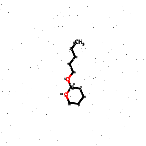 CCCCC[O][Al]1[CH2]CCC[O]1